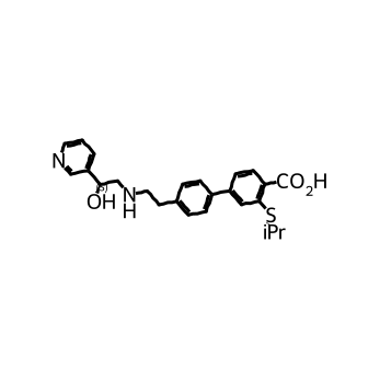 CC(C)Sc1cc(-c2ccc(CCNC[C@@H](O)c3cccnc3)cc2)ccc1C(=O)O